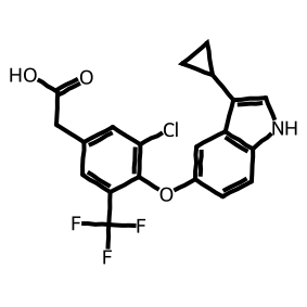 O=C(O)Cc1cc(Cl)c(Oc2ccc3[nH]cc(C4CC4)c3c2)c(C(F)(F)F)c1